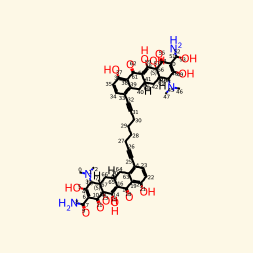 CN(C)[C@@H]1C(O)=C(C(N)=O)C(=O)[C@@]2(O)C(O)=C3C(=O)c4c(O)ccc(C#CCCCCC#Cc5ccc(O)c6c5C[C@H]5C[C@H]7[C@H](N(C)C)C(O)=C(C(N)O)C(=O)[C@@]7(O)C(O)=C5C6=O)c4C[C@H]3C[C@@H]12